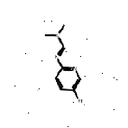 CCc1ccc(N=CN(C)C)nc1